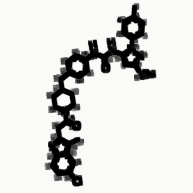 Cc1ccc(-n2nc(C(C)(C)C)cc2NC(=O)Nc2ccc(CC3CCN(C(=O)Cc4sc5ccc(Cl)cc5c4C)CC3)cc2)cc1